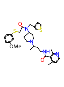 COc1cccc(SCC(=O)N(Cc2ccsc2)C2CCN(C(C)CCNC(=O)c3c(C)ccnc3C)CC2)c1